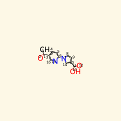 CC(=O)c1ccc(-n2ccc(C(=O)O)c2)nc1